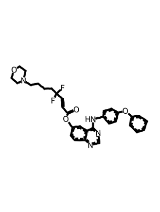 O=C(C=CC(F)(F)CCCCN1CCOCC1)Oc1ccc2ncnc(Nc3ccc(Oc4ccccc4)cc3)c2c1